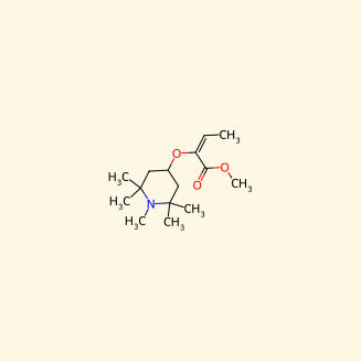 CC=C(OC1CC(C)(C)N(C)C(C)(C)C1)C(=O)OC